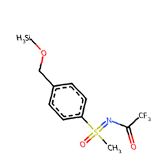 CS(=O)(=NC(=O)C(F)(F)F)c1ccc(CO[SiH3])cc1